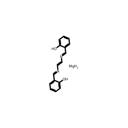 Oc1ccccc1C=NC=CN=Cc1ccccc1O.[MgH2]